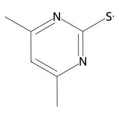 Cc1cc(C)nc([S])n1